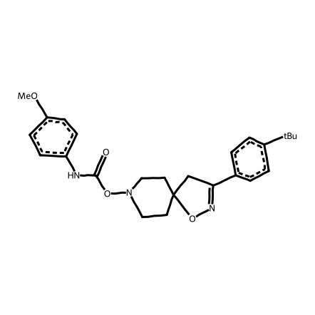 COc1ccc(NC(=O)ON2CCC3(CC2)CC(c2ccc(C(C)(C)C)cc2)=NO3)cc1